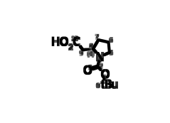 CC(C)(C)OC(=O)N1CCC[C@@H]1CC(=O)O